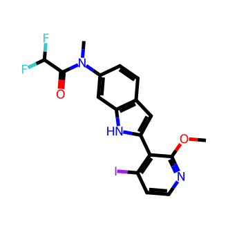 COc1nccc(I)c1-c1cc2ccc(N(C)C(=O)C(F)F)cc2[nH]1